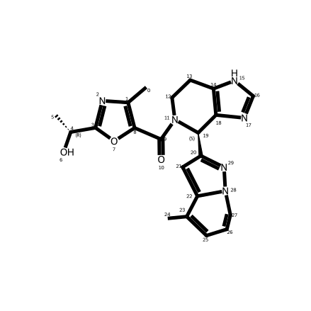 Cc1nc([C@@H](C)O)oc1C(=O)N1CCc2[nH]cnc2[C@H]1c1cc2c(C)cccn2n1